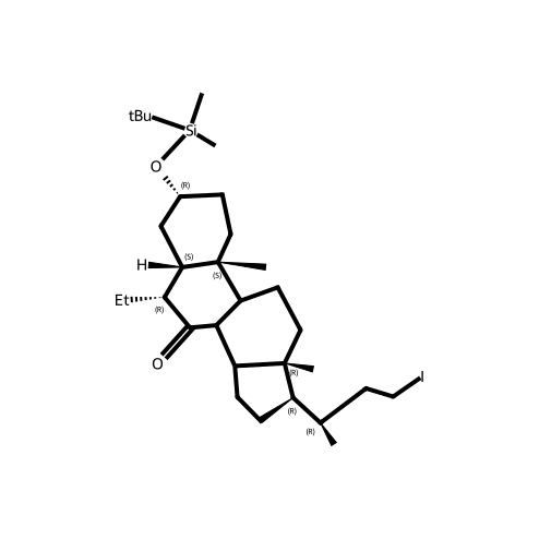 CC[C@H]1C(=O)C2C3CC[C@H]([C@H](C)CCI)[C@@]3(C)CCC2[C@@]2(C)CC[C@@H](O[Si](C)(C)C(C)(C)C)C[C@@H]12